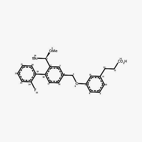 CO[C@@H](c1cc(COc2cccc(CCC(=O)O)c2)ccc1-c1ccccc1F)C(C)(C)C